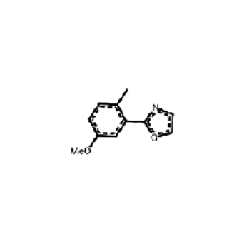 COc1ccc(C)c(-c2ncco2)c1